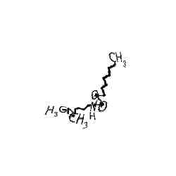 CCCCCCCCS(=O)(=O)NCCCN(C)C